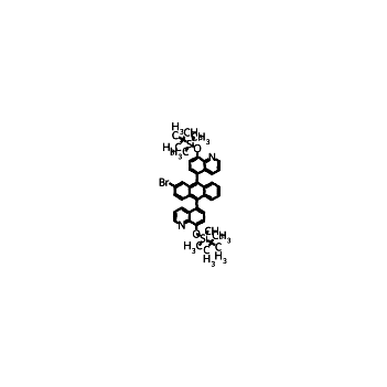 CC(C)(C)[Si](C)(C)Oc1ccc(-c2c3ccccc3c(-c3ccc(O[Si](C)(C)C(C)(C)C)c4ncccc34)c3cc(Br)ccc23)c2cccnc12